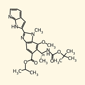 COc1c([C@@H](C)NC(=O)OC(C)(C)C)c(C(=O)OC(C)C)cc2nc(-c3cc4cccnc4[nH]3)n(C)c12